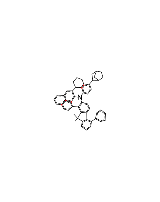 CC1(C)c2cccc(-c3ccccc3)c2-c2ccc(N(c3ccc(C4CC5CCC4C5)cc3)c3cc4ccccc4cc3C3CCCCC3)c(-c3ccccc3)c21